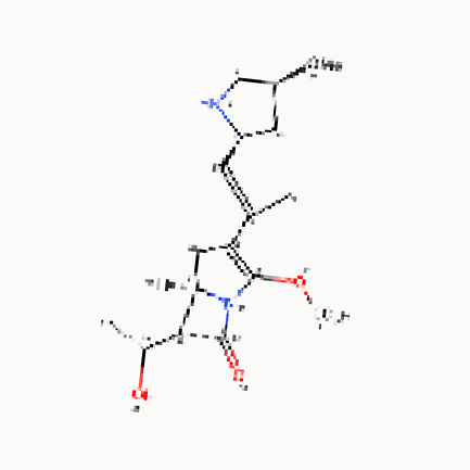 CO[C@@H]1CN[C@H](C=C(C)C2=C(OC(=O)O)N3C(=O)[C@H]([C@@H](C)O)[C@H]3C2)C1